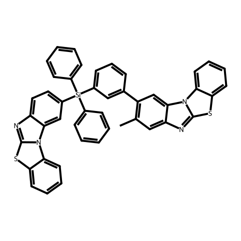 Cc1cc2nc3sc4ccccc4n3c2cc1-c1cccc([Si](c2ccccc2)(c2ccccc2)c2ccc3nc4sc5ccccc5n4c3c2)c1